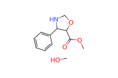 CO.COC(=O)C1OCNC1c1ccccc1